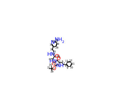 CC(NC(=O)C(CCc1ccccc1)NC(=O)OC(C)(C)C)C(=O)NCCc1ccc(N)nc1